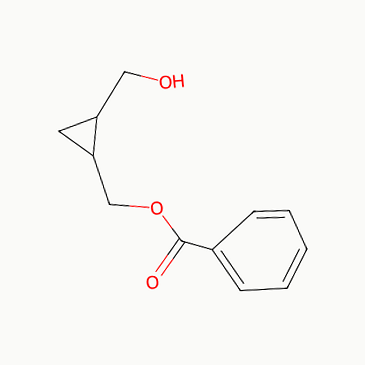 O=C(OCC1CC1CO)c1ccccc1